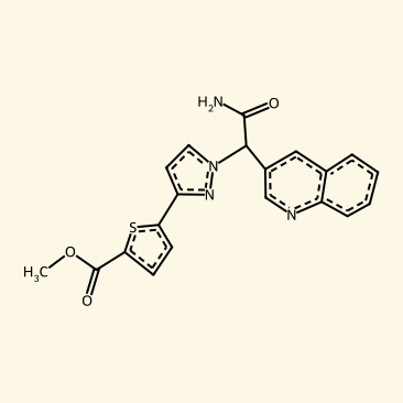 COC(=O)c1ccc(-c2ccn(C(C(N)=O)c3cnc4ccccc4c3)n2)s1